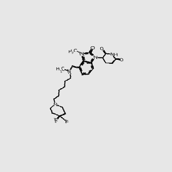 CN(CCCCCCN1CCC(F)(F)CC1)Cc1cccc2c1n(C)c(=O)n2C1CCC(=O)NC1=O